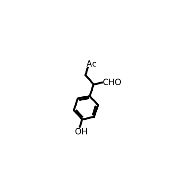 CC(=O)CC(C=O)c1ccc(O)cc1